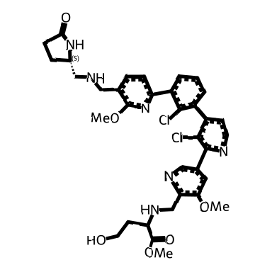 COC(=O)C(CCO)NCc1ncc(-c2nccc(-c3cccc(-c4ccc(CNC[C@@H]5CCC(=O)N5)c(OC)n4)c3Cl)c2Cl)cc1OC